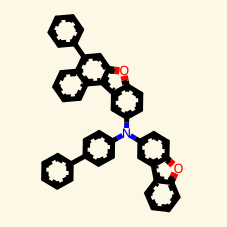 c1ccc(-c2ccc(N(c3ccc4oc5ccccc5c4c3)c3ccc4oc5cc(-c6ccccc6)c6ccccc6c5c4c3)cc2)cc1